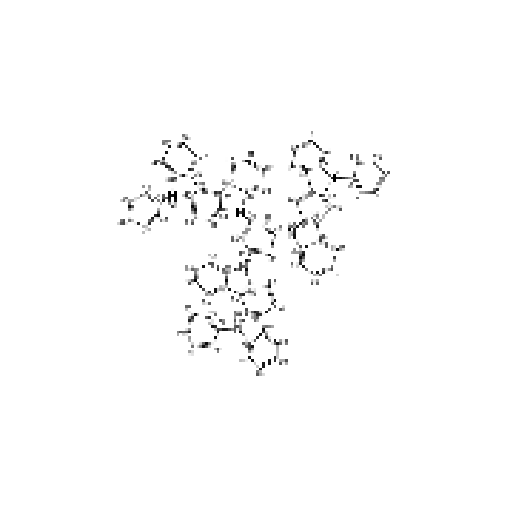 c1ccc(-n2c3ccccc3c3cc4c(cc32)c2ccccc2n4-c2cc(-n3c4ccccc4c4c5c6ccccc6n(-c6ccccc6)c5ccc43)cc(-n3c4ccccc4c4c3ccc3c5ccccc5n(-c5ccccc5)c34)c2)cc1